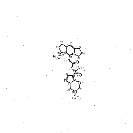 C[C@@H]1COc2c([S@](N)(=O)=NC(=O)Nc3c4c(cc5c3[C@@H](C)CC5)CCC4)cnn2C1